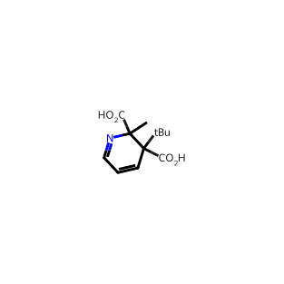 CC(C)(C)C1(C(=O)O)C=CC=NC1(C)C(=O)O